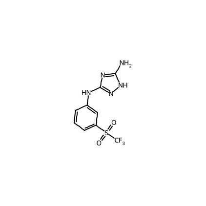 Nc1nc(Nc2cccc(S(=O)(=O)C(F)(F)F)c2)n[nH]1